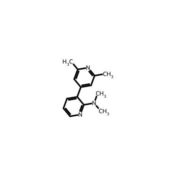 Cc1cc(-c2cccnc2N(C)C)cc(C)n1